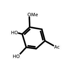 COc1cc(C(C)=O)cc(O)c1O